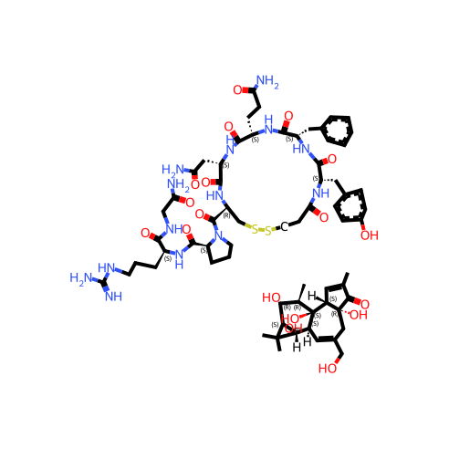 CC1=C[C@H]2[C@@]3(O)[C@H](C)[C@@H](O)[C@]4(O)[C@H]([C@@H]3C=C(CO)C[C@]2(O)C1=O)C4(C)C.N=C(N)NCCC[C@H](NC(=O)[C@@H]1CCCN1C(=O)[C@@H]1CSSCCC(=O)N[C@@H](Cc2ccc(O)cc2)C(=O)N[C@@H](Cc2ccccc2)C(=O)N[C@@H](CCC(N)=O)C(=O)N[C@@H](CC(N)=O)C(=O)N1)C(=O)NCC(N)=O